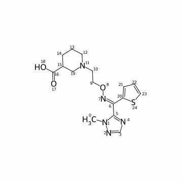 Cn1ncnc1C(=NOCCN1CCCC(C(=O)O)C1)c1cccs1